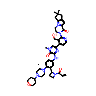 C=CC(=O)N1CCC1c1cc(Nc2nc(-c3ccnc(N4CCn5c(cc6c5CC(C)(C)C6)C4=O)c3CO)cn(C)c2=O)ccc1N1CCN(C2CCOCC2)C[C@@H]1C